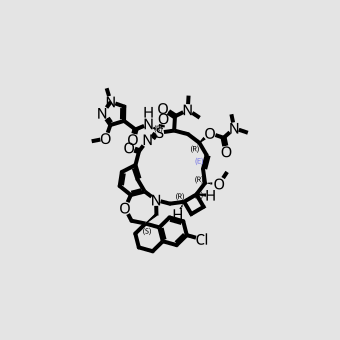 COc1nn(C)cc1C(=O)N[S@@]1(=O)=NC(=O)c2ccc3c(c2)N(C[C@@H]2CC[C@H]2[C@@H](OC)/C=C/[C@H](OC(=O)N(C)C)CC1C(=O)N(C)C)C[C@@]1(CCCc2cc(Cl)ccc21)CO3